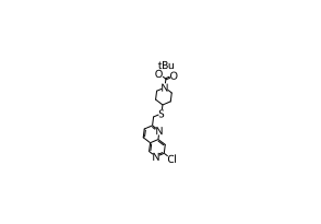 CC(C)(C)OC(=O)N1CCC(SCc2ccc3cnc(Cl)cc3n2)CC1